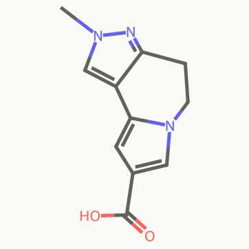 Cn1cc2c(n1)CCn1cc(C(=O)O)cc1-2